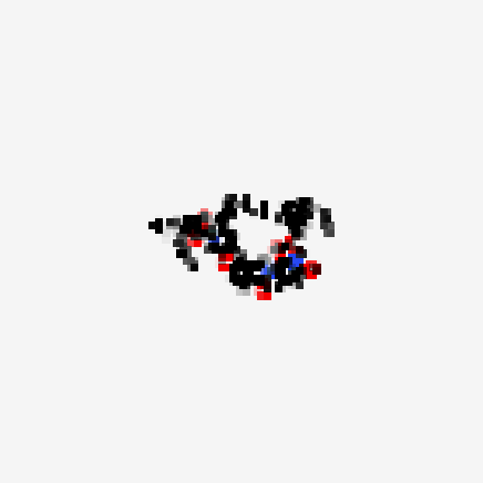 CCC[C@H]1CC[C@@H](Oc2ccc3c(c2)CN(C2CCC(=O)N(COCC[Si](C)(C)C)C2=O)C3=O)CN1C(=O)OC(C)(C)C